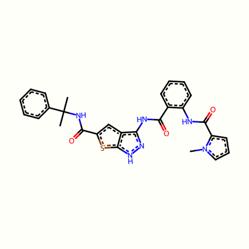 Cn1cccc1C(=O)Nc1ccccc1C(=O)Nc1n[nH]c2sc(C(=O)NC(C)(C)c3ccccc3)cc12